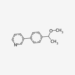 COC(C)c1ccc(-c2cccnc2)cc1